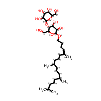 CC(=CCCCOC1OC(CO)C(OC2OC(CO)C(O)C(O)C2O)C(O)C1O)CCCC(C)CCCC(C)CCCC(C)C